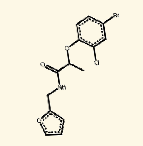 CC(Oc1ccc(Br)cc1Cl)C(=O)NCc1ccco1